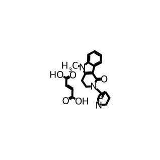 Cn1c2c(c3ccccc31)C(=O)N(C1CN3CCC1CC3)CC2.O=C(O)C=CC(=O)O